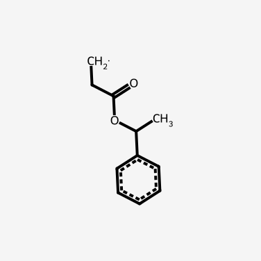 [CH2]CC(=O)OC(C)c1ccccc1